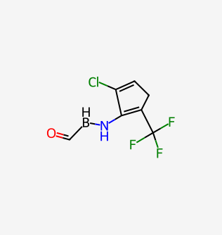 O=CBNC1=C(C(F)(F)F)CC=C1Cl